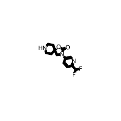 O=C1OC2(CCNCC2)CN1c1ccc(C(F)F)nc1